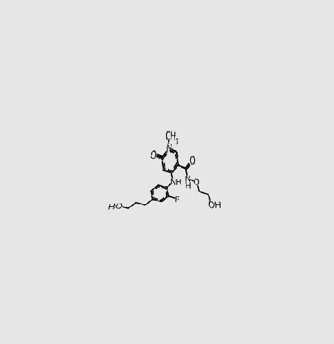 Cn1cc(C(=O)NOCCO)c(Nc2ccc(CCCO)cc2F)cc1=O